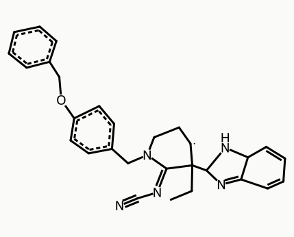 CCC1(C2N=C3C=CC=CC3N2)[CH]CCN(Cc2ccc(OCc3ccccc3)cc2)C1=NC#N